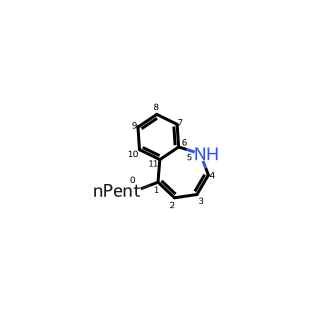 CCCCCC1=CC=CNc2ccccc21